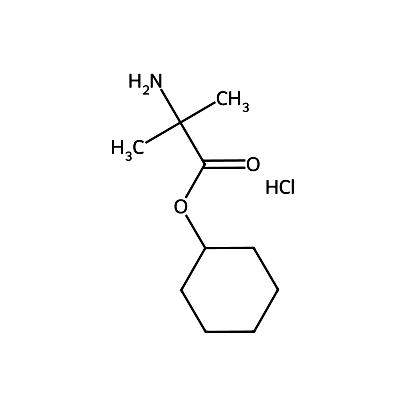 CC(C)(N)C(=O)OC1CCCCC1.Cl